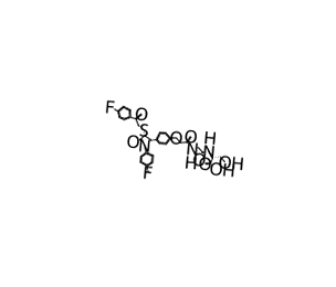 O=C(COc1ccc([C@@H]2[C@@H](SCC(=O)c3ccc(F)cc3)C(=O)N2c2ccc(F)cc2)cc1)NCC(=O)N[C@H](CO)C(=O)O